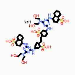 O=S(=O)(O)c1cc(Nc2nc(Nc3ccc(S(=O)(=O)O)c4ccccc34)nc(N(CCO)CCO)n2)ccc1C=Cc1ccc(Nc2nc(Nc3ccc(S(=O)(=O)O)c4ccccc34)nc(N(CCO)CCO)n2)cc1S(=O)(=O)O.[NaH]